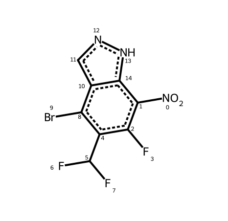 O=[N+]([O-])c1c(F)c(C(F)F)c(Br)c2cn[nH]c12